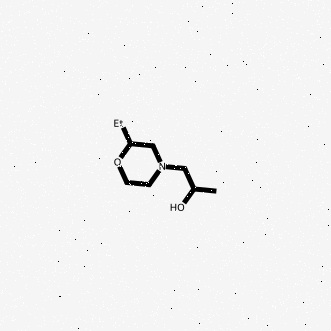 CCC1CN(CC(C)O)CCO1